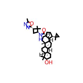 Cc1nnc([C@H]2C[C@@H](NC(=O)[C@]34CC[C@@H](C5(C)CC5)[C@@H]3[C@H]3CC[C@@H]5[C@@]6(C)CC[C@H](O)C(C)(C)[C@@H]6CC[C@@]5(C)[C@]3(C)CC4)C2(C)C)o1